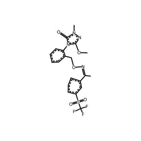 COc1nn(C)c(=O)n1-c1ccccc1CON=C(C)c1cccc(S(=O)(=O)C(F)(F)F)c1